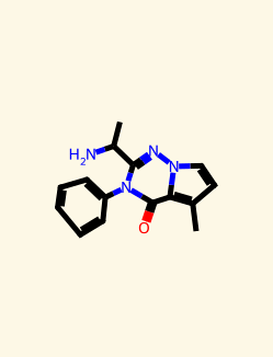 Cc1ccn2nc(C(C)N)n(-c3ccccc3)c(=O)c12